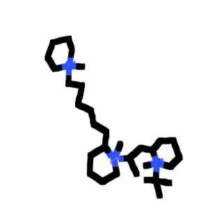 CC(CC1CCCC[N+]1(C)C(C)(C)C)[N+]1(C)CCCCC1CCCCCC[N+]1(C)CCCCC1